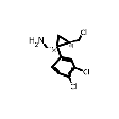 NC[C@]1(c2ccc(Cl)c(Cl)c2)C[C@H]1CCl